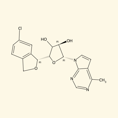 Cc1ncnc2c1ccn2[C@@H]1OC([C@@H]2OCc3ccc(Cl)cc32)C(O)[C@H]1O